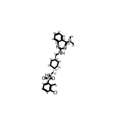 Cc1c(Cl)cccc1S(=O)(=O)NC[C@H]1CC[C@H](CNc2nc(N(C)C)c3ccccc3n2)CC1